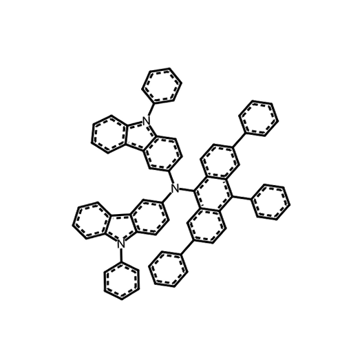 c1ccc(-c2ccc3c(N(c4ccc5c(c4)c4ccccc4n5-c4ccccc4)c4ccc5c(c4)c4ccccc4n5-c4ccccc4)c4cc(-c5ccccc5)ccc4c(-c4ccccc4)c3c2)cc1